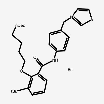 CCCCCCCCCCCCCCOc1c(C(=O)Nc2ccc(C[n+]3ccsc3)cc2)cccc1C(C)(C)C.[Br-]